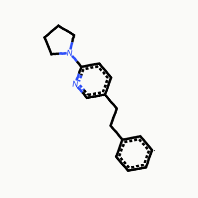 [c]1cccc(CCc2ccc(N3CCCC3)nc2)c1